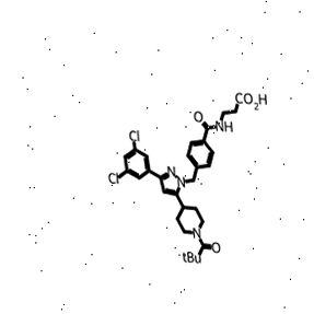 CC(C)(C)C(=O)N1CCC(c2cc(-c3cc(Cl)cc(Cl)c3)nn2Cc2ccc(C(=O)NCCC(=O)O)cc2)CC1